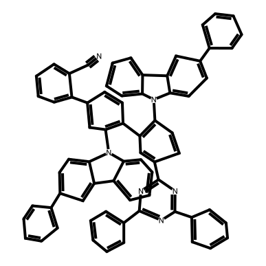 N#Cc1ccccc1-c1ccc(-c2cc(-c3nc(-c4ccccc4)nc(-c4ccccc4)n3)ccc2-n2c3ccccc3c3cc(-c4ccccc4)ccc32)c(-n2c3ccccc3c3cc(-c4ccccc4)ccc32)c1